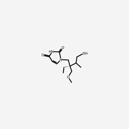 CC[C@](COC)(Cn1ccc(=O)[nH]c1=O)C(C)CO